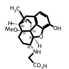 CO[C@@]12CC[C@@H](NCC(=O)O)[C@@H]3Oc4c(O)ccc5c4[C@@]31CCN(C)[C@@H]2C5